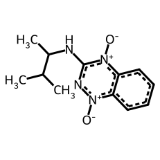 CC(C)C(C)Nc1n[n+]([O-])c2ccccc2[n+]1[O-]